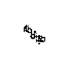 Brc1c(Nc2nsc3ccccc23)cccc1-c1ccc2nccnc2c1